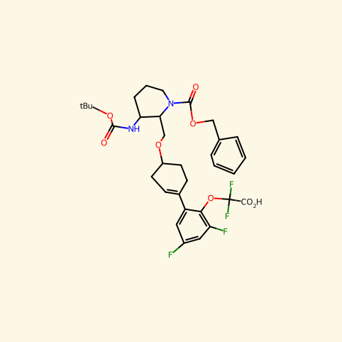 CC(C)(C)OC(=O)NC1CCCN(C(=O)OCc2ccccc2)C1COC1CC=C(c2cc(F)cc(F)c2OC(F)(F)C(=O)O)CC1